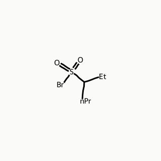 CCCC(CC)S(=O)(=O)Br